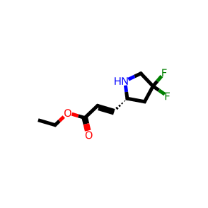 CCOC(=O)C=C[C@H]1CC(F)(F)CN1